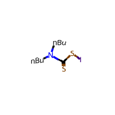 CCCCN(CCCC)C(=S)SI